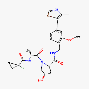 Cc1ncsc1-c1ccc(CNC(=O)[C@@H]2C[C@@H](O)CN2C(=O)[C@@H](NC(=O)C2(F)CC2)C(C)(C)C)c(OC(C)C)c1